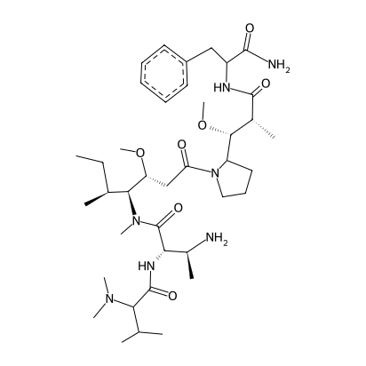 CC[C@H](C)[C@@H]([C@@H](CC(=O)N1CCCC1[C@H](OC)[C@@H](C)C(=O)NC(Cc1ccccc1)C(N)=O)OC)N(C)C(=O)[C@@H](NC(=O)C(C(C)C)N(C)C)[C@H](C)N